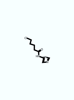 O=C(CCCCCl)Nc1cnc[nH]1